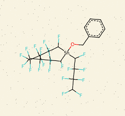 FC(F)C(F)(F)C(F)(F)[CH](F)[Sn]([O]Cc1ccccc1)([CH](F)C(F)(F)C(F)(F)C(F)F)[CH](F)C(F)(F)C(F)(F)C(F)F